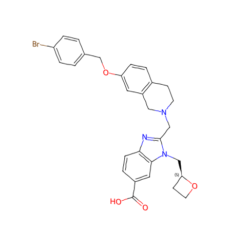 O=C(O)c1ccc2nc(CN3CCc4ccc(OCc5ccc(Br)cc5)cc4C3)n(C[C@@H]3CCO3)c2c1